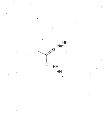 CC(=O)[O-].[HH].[HH].[HH].[Na+]